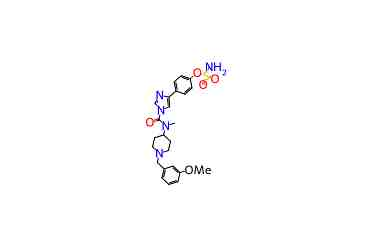 COc1cccc(CN2CCC(N(C)C(=O)n3cnc(-c4ccc(OS(N)(=O)=O)cc4)c3)CC2)c1